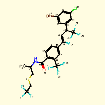 CC(CSCC(F)(F)F)NC(=O)c1ccc(/C(F)=C/C(c2cc(Cl)cc(Br)c2)C(F)(F)F)cc1C(F)(F)F